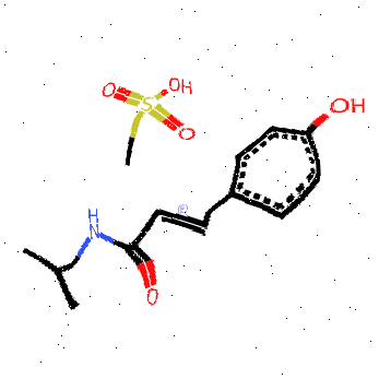 CC(C)NC(=O)/C=C/c1ccc(O)cc1.CS(=O)(=O)O